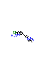 Cc1ncnc2c1ccn2C1C=C(CCc2ccc3cc(Cl)c(N)nc3c2)CC1